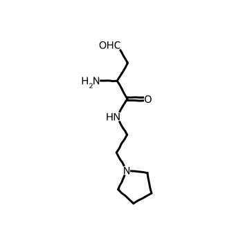 NC(CC=O)C(=O)NCCN1CCCC1